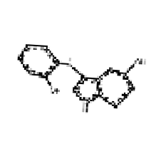 Oc1ccc2[nH]cc(Nc3ccccc3O)c2c1